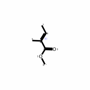 [CH2]OC(=O)/C(C)=C/C